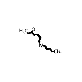 CCCC=C/N=C\C=C/CC(=O)CC